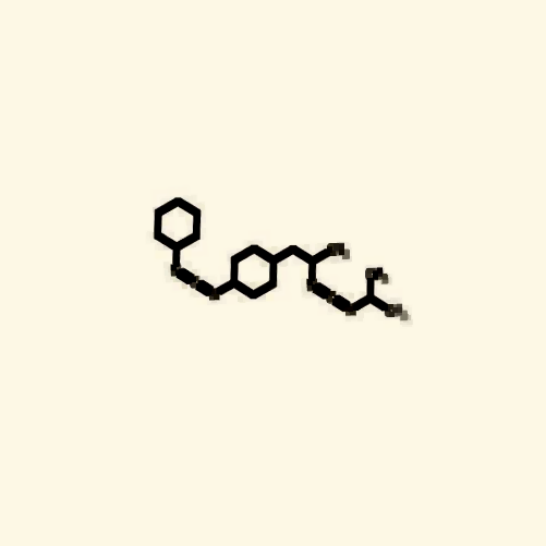 CC(C)N=C=NC(C)CC1CCC(N=C=NC2CCCCC2)CC1